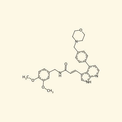 COc1ccc(CNC(=O)/C=C/c2c[nH]c3nccc(-c4ccc(CN5CCOCC5)cc4)c23)cc1OC